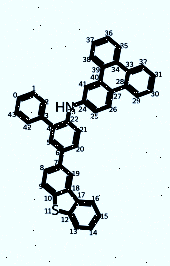 c1ccc(-c2cc(-c3ccc4sc5ccccc5c4c3)ccc2Nc2ccc3c4ccccc4c4ccccc4c3c2)cc1